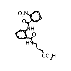 O=C(O)CCCNC(=O)c1ccccc1NC(=O)c1ccccc1[N+](=O)[O-]